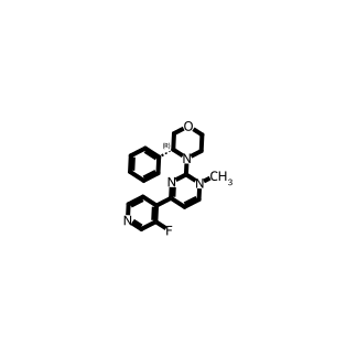 CN1C=CC(c2ccncc2F)=NC1N1CCOC[C@H]1c1ccccc1